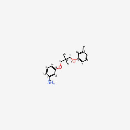 Cc1cccc(OCC(C)(C)COc2cccc(N)c2)c1